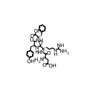 N=C(N)NCCC[C@H](NC(=O)[C@@H](N)CC(=O)O)C(=O)N[C@@H](Cc1ccc(O)cc1)C(=O)N[C@@H](Cc1ccccc1)C(=O)O